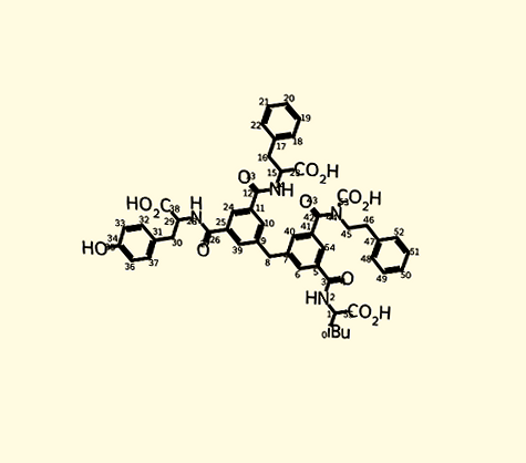 CCC(C)C(NC(=O)c1cc(Cc2cc(C(=O)NC(Cc3ccccc3)C(=O)O)cc(C(=O)NC(Cc3ccc(O)cc3)C(=O)O)c2)cc(C(=O)N(CCc2ccccc2)C(=O)O)c1)C(=O)O